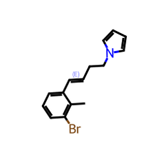 Cc1c(Br)cccc1/C=C/CCn1cccc1